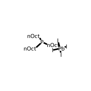 CCCCCCCCP(CCCCCCCC)CCCCCCCC.[I][Pb]([I])([I])[I]